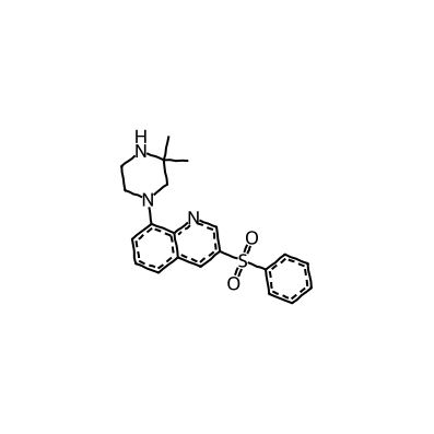 CC1(C)CN(c2cccc3cc(S(=O)(=O)c4ccccc4)cnc23)CCN1